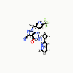 C[C@@H](c1ccc(C(F)(F)F)nc1)n1nc(C#N)c2c(=O)[nH]c([C@H]3CC[C@@H]3c3cc4n(n3)CCC4)nc21